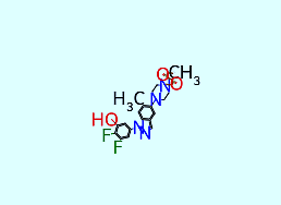 Cc1cc2c(cnn2-c2cc(O)c(F)c(F)c2)cc1N1CCN(S(C)(=O)=O)CC1